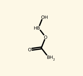 BC(=O)OBO